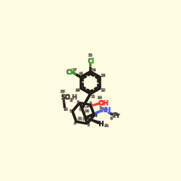 CC(C)N[C@@H]1C2CCC(CC2)[C@@]1(O)c1ccc(Cl)c(Cl)c1.CS(=O)(=O)O